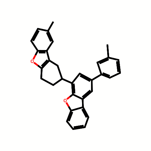 Cc1cccc(-c2cc(C3CCc4oc5ccc(C)cc5c4C3)c3oc4ccccc4c3c2)c1